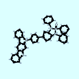 O=P1(c2ccccc2)N(c2ccccc2)c2ccc(-c3ccc(-n4c5ccccc5c5cc6c(cc54)sc4ccccc46)cc3)cc2N1c1ccccc1